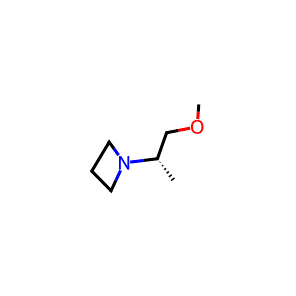 COC[C@H](C)N1CCC1